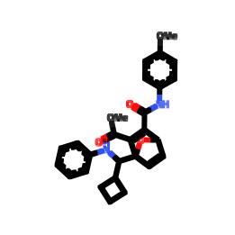 COC(=O)C1=C(C(=O)Nc2ccc(OC)cc2)C2C=CC1(C(Nc1ccccc1)C1CCC1)O2